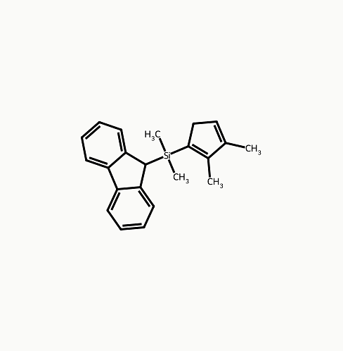 CC1=CCC([Si](C)(C)C2c3ccccc3-c3ccccc32)=C1C